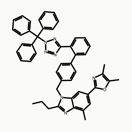 CCCc1nc2c(C)cc(-c3nc(C)c(C)o3)cc2n1Cc1ccc(-c2ccccc2-c2nnn(C(c3ccccc3)(c3ccccc3)c3ccccc3)n2)cc1